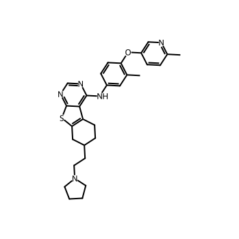 Cc1ccc(Oc2ccc(Nc3ncnc4sc5c(c34)CCC(CCN3CCCC3)C5)cc2C)cn1